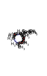 COCCO[C@H]1C[C@@H]2CC[C@@H](C)[C@@](O)(O2)C(=O)C(=O)N2CCCC[C@H]2C(=O)O[C@H]([C@H](C)C[C@@H]2CC[C@@H](OCCCO[Si](C)(C)C(C)(C)C)[C@H](OC)C2)CC(=O)[C@H](C)/C=C(\C)[C@@H](O)[C@@H](OC)C(=O)[C@H](C)C[C@H](C)/C=C/C=C/C=C/1C